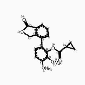 COc1ccc(-c2cccc3c2COC3=O)c(OC(=O)C2CC2)c1OC